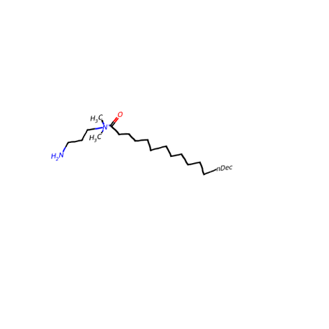 CCCCCCCCCCCCCCCCCCCCCC(=O)[N+](C)(C)CCCN